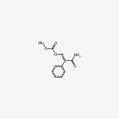 CC(C)(C)OC(=O)O/N=C(/C(N)=O)c1ccccc1